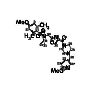 COc1cc(C)c(S(=O)(=O)N(Cc2nc(C(=O)N3CCN(Cc4ccc(OC)nc4)CC3)co2)C2CC2)c(C)c1